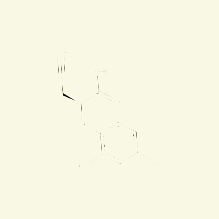 C#CC[C@H](Oc1ccc(Br)cc1Cl)C(=O)O